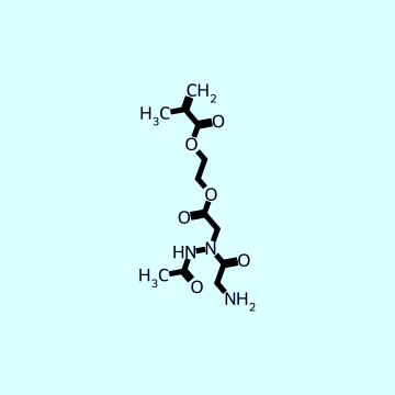 C=C(C)C(=O)OCCOC(=O)CN(NC(C)=O)C(=O)CN